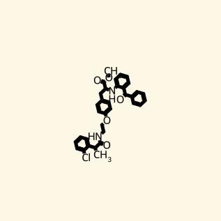 COC(=O)C(Cc1ccc(OCCNC(=O)C(C)c2ccccc2Cl)cc1)Nc1ccccc1C(=O)c1ccccc1